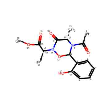 CC(C)C(=O)N1C(c2ccccc2O)ON([C@H](C(=O)OC(C)(C)C)C(C)C)C(=O)[C@@H]1C